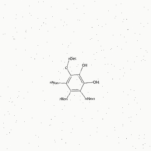 CCCCCCCCCCOc1c(O)c(O)c(CCCCCCCCC)c(CCCCCCCCC)c1CCCCCCCCC